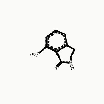 O=C(O)c1cccc2c1C(=O)NC2